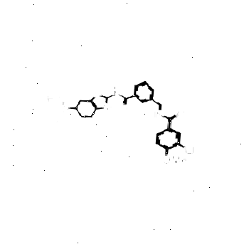 COc1ccc(C(=O)NCc2cccc(C(=O)NC3NC4=C(CC(N(C)C)CC4)S3)c2)cc1C